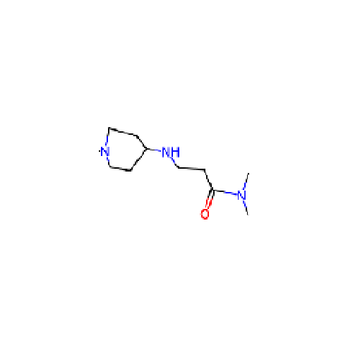 CN(C)C(=O)CCNC1CC[N]CC1